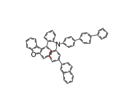 c1ccc(-c2ccc(-c3ccc(N(c4cccc(-c5ccc6ccccc6c5)c4)c4ccccc4-c4cccc5oc6ccccc6c45)cc3)cc2)cc1